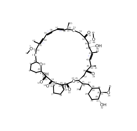 CO[C@H]1CC2CCC[C@@](O)(O2)C(=O)C(=O)N2CCCC[C@H]2C(=O)O[C@H]([C@H](C)C[C@@H]2CC[C@@H](O)[C@H](OC)C2)CC(=O)[C@H](C)/C=C(\C)[C@@H](O)[C@@H](OC)C(=O)CC[C@H](C)/C=C/C=C/C=C/1C